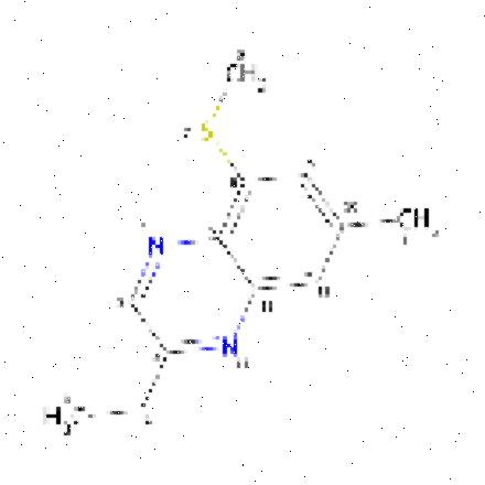 CCc1cnc2c(SC)cc(C)cc2n1